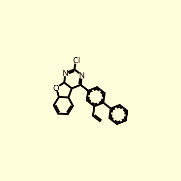 C=Cc1cc(C2=NC(Cl)=NC3OC4C=CC=CC4C23)ccc1-c1ccccc1